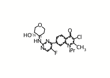 Cc1c(Cl)c(=O)c2ccc(-c3nc(N[C@@H]4CCOC[C@H]4O)ncc3F)cc2n1C(C)C